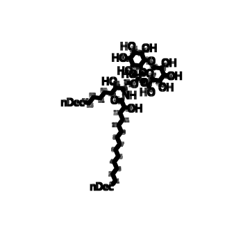 CCCCCCCCCCCCCCCCCCCCCCC(O)C(=O)N[C@@H](COP(=O)(O)O[C@H]1C(O)C(O)C(O)[C@@H](O)C1O[C@H]1O[C@H](CO)[C@@H](O)C(O)C1O)[C@H](O)CCCCCCCCCCCCCCC